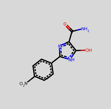 NC(=O)c1nc(-c2ccc([N+](=O)[O-])cc2)[nH]c1O